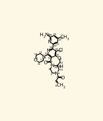 C=CC(=O)N1CCN2C(=O)c3c(N4CCOCC4)nc(-c4cc(C)cc(N)n4)c(Cl)c3OC[C@H]2C1